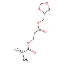 C=C(C)C(=O)OCCC(=O)OCC1COCO1